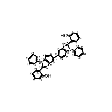 Oc1ccccc1-c1nc2cc(-c3ccc4c(c3)nc(-c3ccccc3O)n4-c3ccccc3)ccc2n1-c1ccccc1